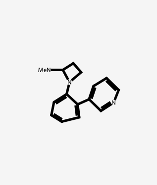 CNC1CCN1c1ccccc1-c1[c]nccc1